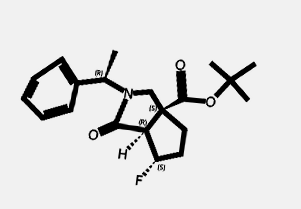 C[C@H](c1ccccc1)N1C[C@]2(C(=O)OC(C)(C)C)CC[C@H](F)[C@H]2C1=O